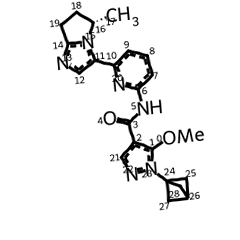 COc1c(C(=O)Nc2cccc(-c3cnc4n3[C@@H](C)CC4)n2)cnn1C12CC(C1)C2